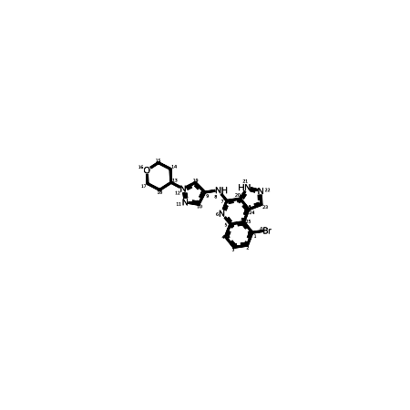 Brc1cccc2nc(Nc3cnn(C4CCOCC4)c3)c3[nH]ncc3c12